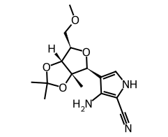 COC[C@H]1O[C@@H](c2c[nH]c(C#N)c2N)[C@]2(C)OC(C)(C)O[C@H]12